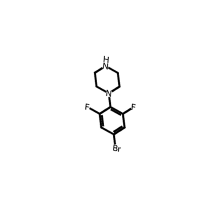 Fc1cc(Br)cc(F)c1N1CCNCC1